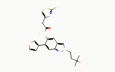 CC(C)(O)CCn1cc2cc(NC(=O)Cc3csc(Br)n3)c(-c3ccoc3)cc2n1